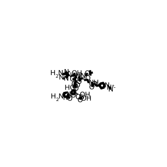 CC(C)(C)OC(=O)N[C@H](CCCNC(=O)OCc1ccc(N=[N+]=[N-])cc1)C(=O)OC1C(COP(=O)(O)O[C@H]2C[C@H](n3ccc(N)nc3=O)O[C@@H]2COP(=O)(O)O)OC(n2cnc3c(N)ncnc32)C1O